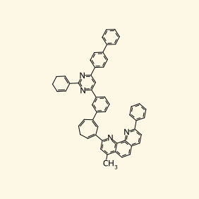 Cc1cc(C2=CCC=CC(c3cccc(-c4cc(-c5ccc(-c6ccccc6)cc5)nc(C5=CCCC=C5)n4)c3)=C2)nc2c1ccc1ccc(-c3ccccc3)nc12